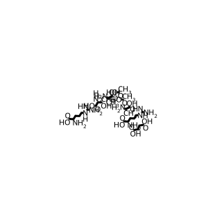 CC(=O)O.CC(=O)O.CC(N)C(=O)O.CC(N)C(=O)O.CC(O)C(N)C(=O)O.N=C(N)NCCCC(N)C(=O)O.N=C(N)NCCCC(N)C(=O)O.O=C(O)CCC(=O)O